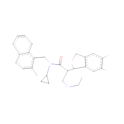 Cc1ccc2ccccc2c1CN(C(=O)C1CNCC[C@@]12OCc1cc(F)c(F)cc12)C1CC1